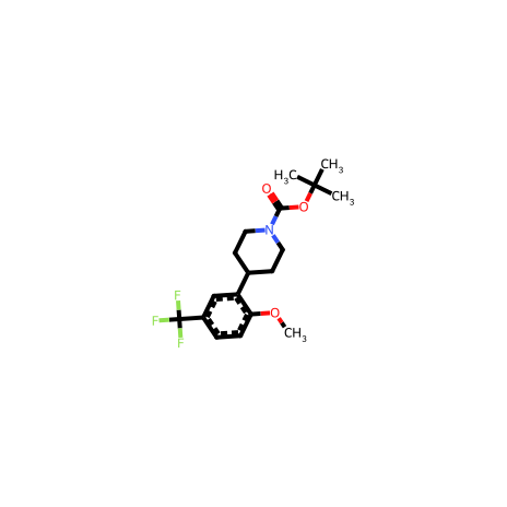 COc1ccc(C(F)(F)F)cc1C1CCN(C(=O)OC(C)(C)C)CC1